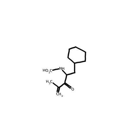 C=C(C)C(=O)C(CC1CCCCC1)NC(=O)O